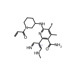 C=CC(=O)N1CCCC(Nc2nc(/C(C=N)=C/NC)c(C(N)=O)c(C)c2F)C1